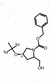 [2H]C([2H])(C)O[C@@H]1CC(CO)N(C(=O)OCc2ccccc2)C1